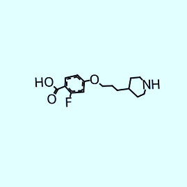 O=C(O)c1ccc(OCCCC2CCNCC2)cc1F